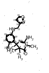 CN1C(=O)C(C)(C)C(C)(c2cc(NCc3ccon3)ccc2F)N=C1N